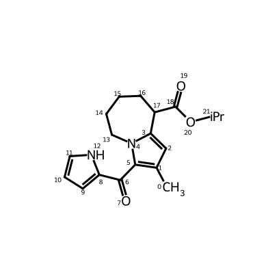 Cc1cc2n(c1C(=O)c1ccc[nH]1)CCCCC2C(=O)OC(C)C